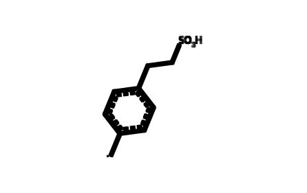 [CH2]c1ccc(CCS(=O)(=O)O)cc1